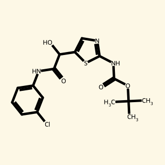 CC(C)(C)OC(=O)Nc1ncc(C(O)C(=O)Nc2cccc(Cl)c2)s1